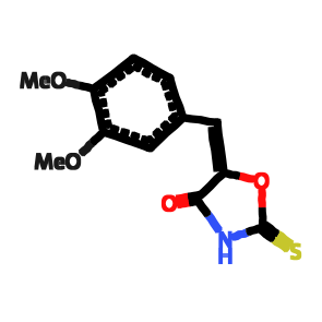 COc1ccc(C=C2OC(=S)NC2=O)cc1OC